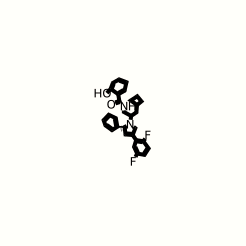 O=C(NCC(CC1CCC1)N1CC(c2cc(F)ccc2F)=C[C@H]1c1ccccc1)c1ccccc1O